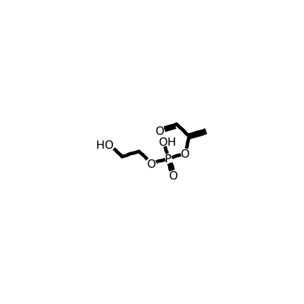 C=C(C=O)OP(=O)(O)OCCO